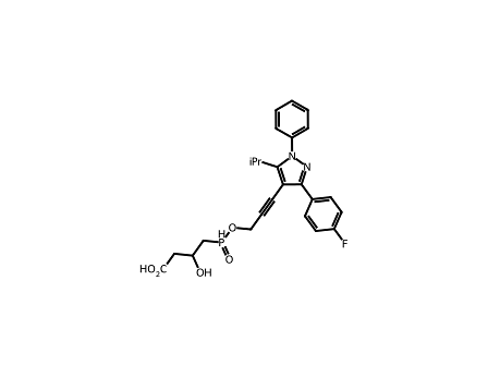 CC(C)c1c(C#CCO[PH](=O)CC(O)CC(=O)O)c(-c2ccc(F)cc2)nn1-c1ccccc1